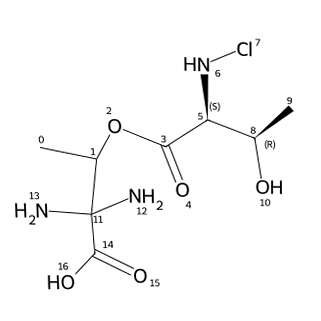 CC(OC(=O)[C@@H](NCl)[C@@H](C)O)C(N)(N)C(=O)O